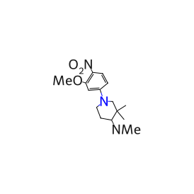 CNC1CCN(c2ccc([N+](=O)[O-])c(OC)c2)CC1(C)C